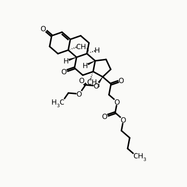 CCCCOC(=O)OCC(=O)[C@@]1(OC(=O)OCC)CC[C@H]2[C@@H]3CCC4=CC(=O)CC[C@]4(C)[C@H]3C(=O)C[C@@]21C